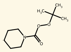 CC(C)(C)OOC(=O)N1CC[CH]CC1